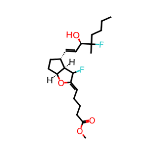 CCCCC(C)(F)[C@H](O)C=C[C@H]1CC[C@@H]2OC(=CCCCC(=O)OC)C(F)[C@@H]21